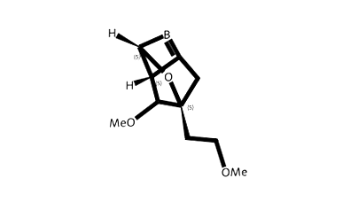 COCC[C@]12CC3=B[C@H](O1)[C@H]3C2OC